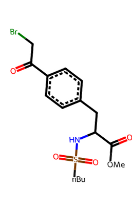 CCCCS(=O)(=O)NC(Cc1ccc(C(=O)CBr)cc1)C(=O)OC